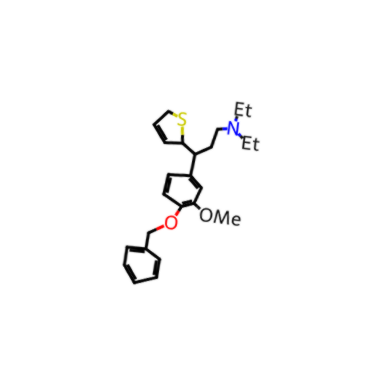 CCN(CC)CCC(c1ccc(OCc2ccccc2)c(OC)c1)C1C=CCS1